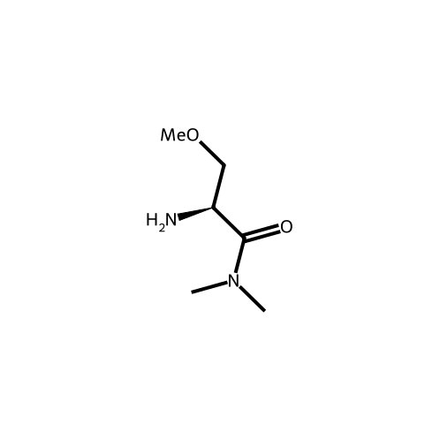 COC[C@H](N)C(=O)N(C)C